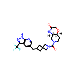 O=C1CO[C@H]2CCN(C(=O)N3CC4(CC(Cc5cnc6[nH]nc(C(F)(F)F)c6c5)C4)C3)C[C@H]2N1